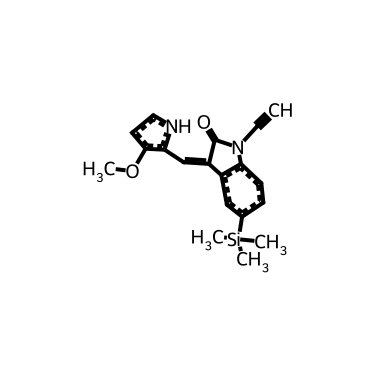 C#CN1C(=O)C(=Cc2[nH]ccc2OC)c2cc([Si](C)(C)C)ccc21